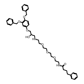 O=C(CCCc1ccccc1)NCCOCCOCCOCCNCC(O)COc1ccc(OCc2ccccc2)c(OCc2ccccc2)c1